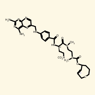 CN(CCN(C)C(=O)[C@@H](CCC(=O)O)NC(=O)c1ccc(NCc2cnc3nc(N)nc(N)c3n2)cc1)C(=O)OC1/C=C/CCCCC1